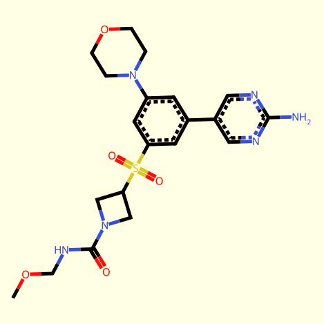 COCNC(=O)N1CC(S(=O)(=O)c2cc(-c3cnc(N)nc3)cc(N3CCOCC3)c2)C1